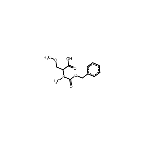 COCC(C(=O)O)N(C)C(=O)OCc1ccccc1